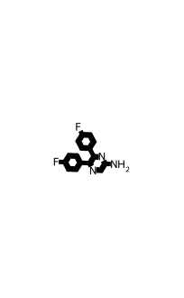 Nc1cnc(-c2ccc(F)cc2)c(-c2ccc(F)cc2)n1